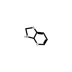 C1=COC2NCSC2=C1